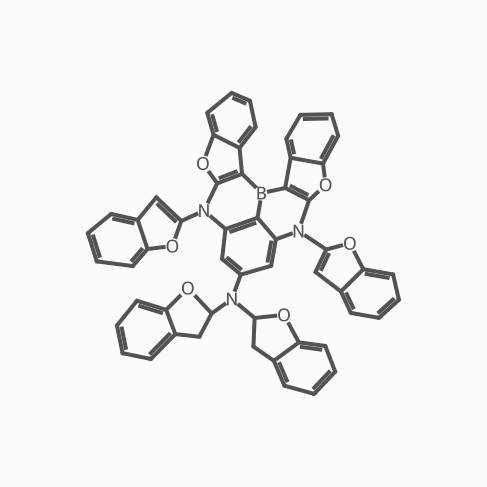 c1ccc2c(c1)CC(N(c1cc3c4c(c1)N(c1cc5ccccc5o1)c1oc5ccccc5c1B4c1c(oc4ccccc14)N3c1cc3ccccc3o1)C1Cc3ccccc3O1)O2